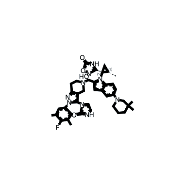 Cc1cc(-n2nc3c(c2-n2cc[nH]c2=O)CN(C(O)c2cc4cc(N5CCCC(C)(C)C5)ccc4n2[C@@]2(c4noc(=O)[nH]4)C[C@@H]2C)CC3)cc(C)c1F